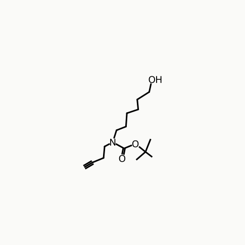 C#CCCN(CCCCCCO)C(=O)OC(C)(C)C